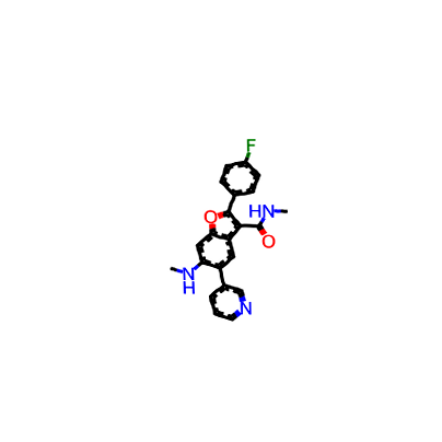 CNC(=O)c1c(-c2ccc(F)cc2)oc2cc(NC)c(-c3cccnc3)cc12